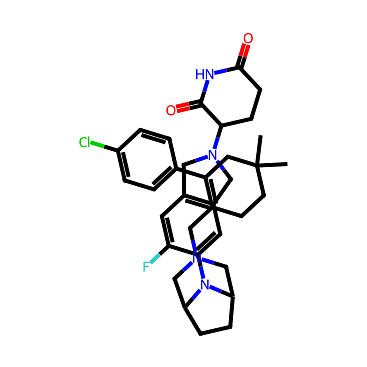 CC1(C)CCC(CN2CC3CCC(C2)N3c2cc3c(cc2F)CN(C2CCC(=O)NC2=O)C3)=C(c2ccc(Cl)cc2)C1